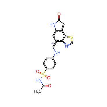 CC(=O)NS(=O)(=O)c1ccc(N/C=c2/cc3c(c4scnc24)=CC(=O)N3)cc1